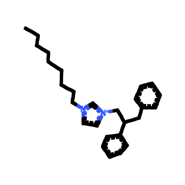 CCCCCCCCCn1cc[n+](CC(Cc2ccccc2)c2ccccc2)c1